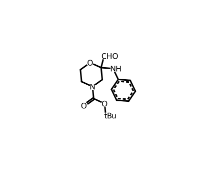 CC(C)(C)OC(=O)N1CCOC(C=O)(Nc2ccccc2)C1